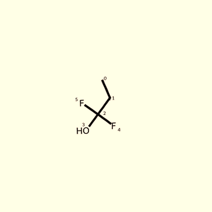 C[CH]C(O)(F)F